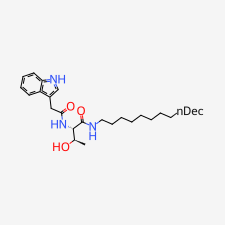 CCCCCCCCCCCCCCCCCCNC(=O)[C@@H](NC(=O)Cc1c[nH]c2ccccc12)[C@@H](C)O